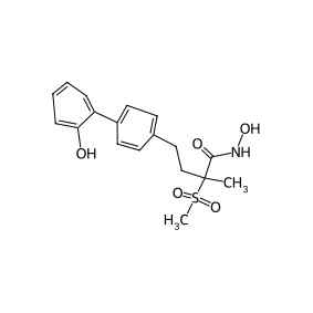 CC(CCc1ccc(-c2ccccc2O)cc1)(C(=O)NO)S(C)(=O)=O